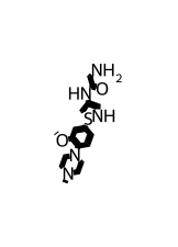 COc1cc(S2=CC(NC(=O)CN)=CN2)ccc1N1CCN(C)CC1